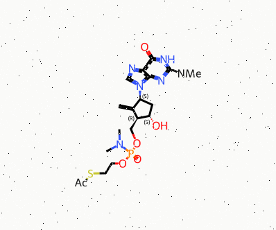 C=C1[C@H](COP(=O)(OCCSC(C)=O)N(C)C)[C@@H](O)C[C@@H]1n1cnc2c(=O)[nH]c(NC)nc21